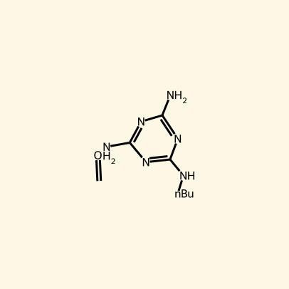 C=O.CCCCNc1nc(N)nc(N)n1